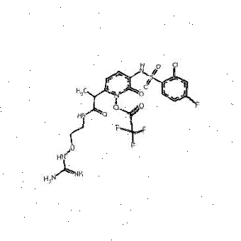 CC(C(=O)NCCONC(=N)N)c1ccc(NS(=O)(=O)c2ccc(F)cc2Cl)c(=O)n1OC(=O)C(F)(F)F